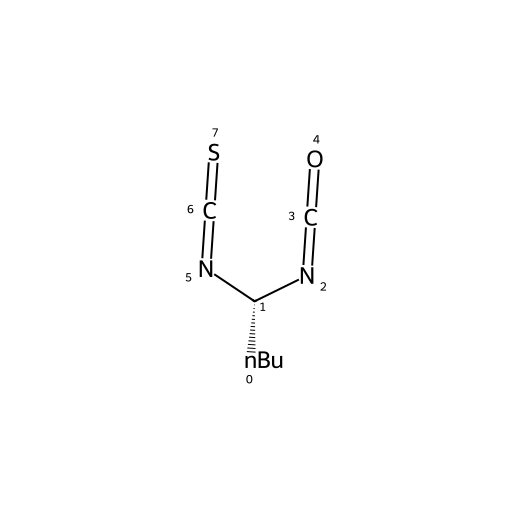 CCCC[C@@H](N=C=O)N=C=S